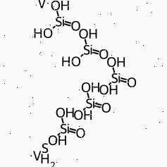 O=[Si](O)O.O=[Si](O)O.O=[Si](O)O.O=[Si](O)O.O=[Si](O)O.S.[V].[V]